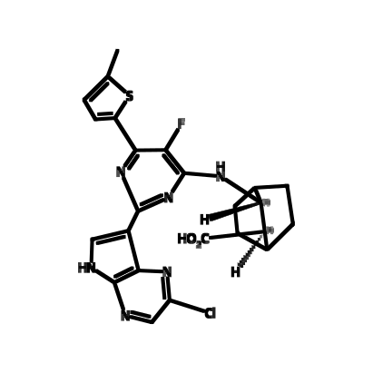 Cc1ccc(-c2nc(-c3c[nH]c4ncc(Cl)nc34)nc(N[C@@H]3C4CCC(CC4)[C@H]3C(=O)O)c2F)s1